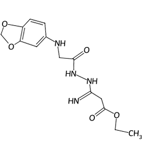 CCOC(=O)CC(=N)NNC(=O)CNc1ccc2c(c1)OCO2